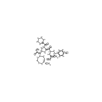 CC(C)C(=O)N([C@H]1CCCC[C@@H](C)CC1)[C@H]1C[C@@H](C(=O)N2CCCCC2)N(C(=O)[C@H](CNC(C)(C)C)C[C@@H](C)c2ccc(Cl)cc2)C1